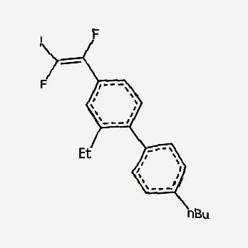 CCCCc1ccc(-c2ccc(/C(F)=C(\F)I)cc2CC)cc1